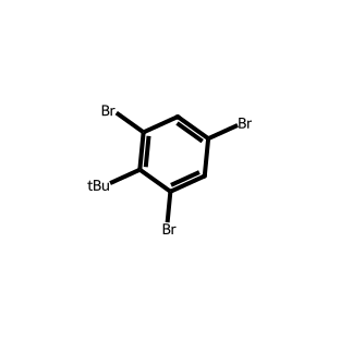 CC(C)(C)c1c(Br)cc(Br)cc1Br